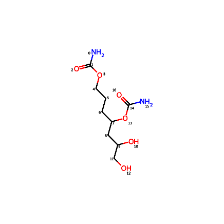 NC(=O)OCCCC(CC(O)CO)OC(N)=O